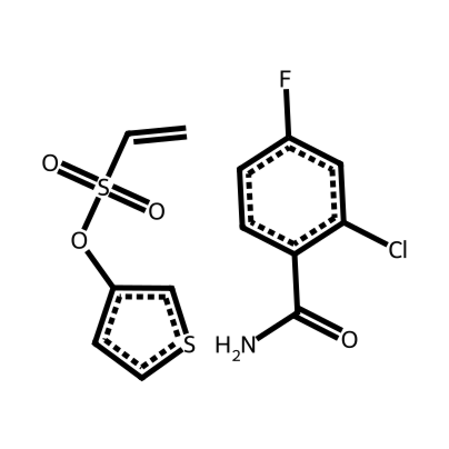 C=CS(=O)(=O)Oc1ccsc1.NC(=O)c1ccc(F)cc1Cl